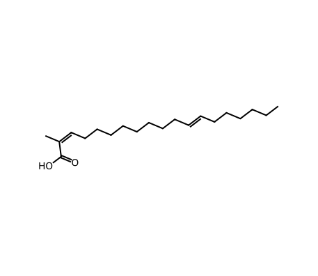 CCCCCCC=CCCCCCCCCC=C(C)C(=O)O